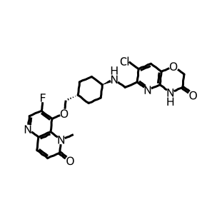 Cn1c(=O)ccc2ncc(F)c(OC[C@H]3CC[C@H](NCc4nc5c(cc4Cl)OCC(=O)N5)CC3)c21